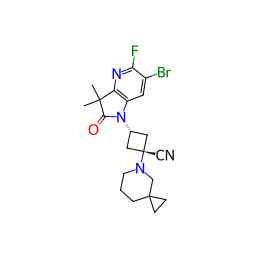 CC1(C)C(=O)N([C@H]2C[C@@](C#N)(N3CCCC4(CC4)C3)C2)c2cc(Br)c(F)nc21